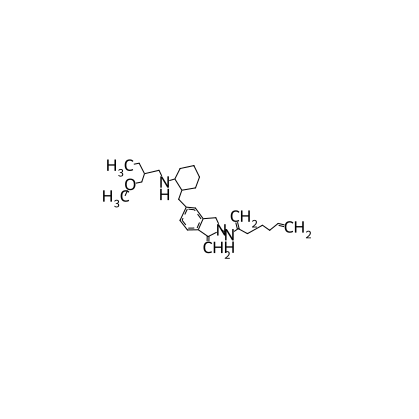 C=CCCCC(=C)NN1Cc2cc(CC3CCCCC3NCC(CC)COC)ccc2C1=C